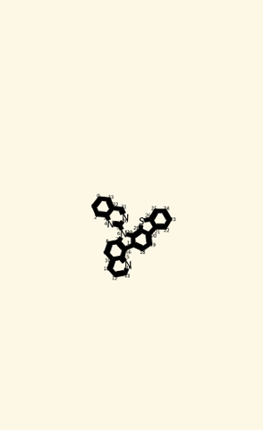 c1ccc2nc(-n3c4ccc5cccnc5c4c4ccc5c6ccccc6sc5c43)ncc2c1